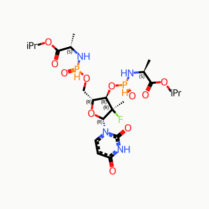 CC(C)OC(=O)[C@H](C)N[PH](=O)OC[C@H]1O[C@@H](n2ccc(=O)[nH]c2=O)[C@](C)(F)[C@@H]1O[PH](=O)N[C@@H](C)C(=O)OC(C)C